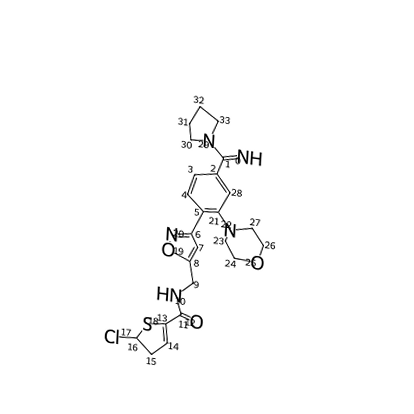 N=C(c1ccc(-c2cc(CNC(=O)C3=CCC(Cl)S3)on2)c(N2CCOCC2)c1)N1CCCC1